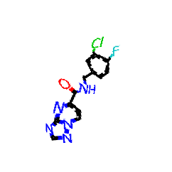 O=C(NCc1ccc(F)c(Cl)c1)c1ccn2ncnc2n1